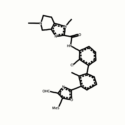 CSc1oc(-c2cccc(-c3cccc(NC(=O)c4nc5c(n4C)CCN(C)C5)c3Cl)c2C)nc1C=O